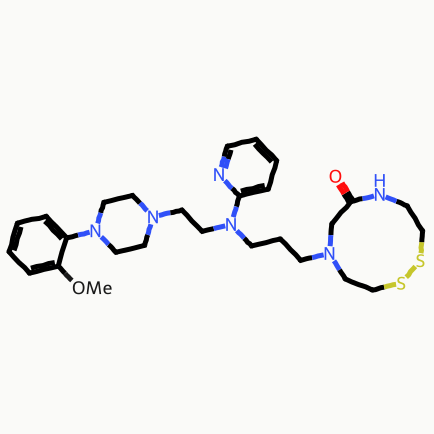 COc1ccccc1N1CCN(CCN(CCCN2CCSSCCNC(=O)C2)c2ccccn2)CC1